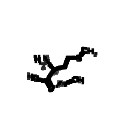 CSCC[C@H](N)C(=O)O.[OH][Zn]